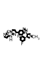 CN1CC(n2nnc3cc(-c4ccnc(Nc5ccnn5C)n4)ccc32)[C@H](c2cc(F)cc(F)c2)C1